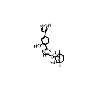 C[C@@]12CC[C@@](C)(CN1)[C@H](Oc1nnc(-c3ccc(-c4cn[nH]c4)cc3O)s1)C2